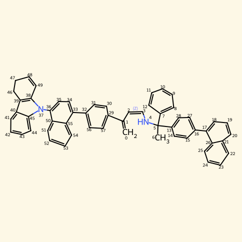 C=C(/C=C\NC(C)(c1ccccc1)c1ccc(-c2cccc3ccccc23)cc1)c1ccc(-c2ccc(-n3c4c(c5ccccc53)CCC=C4)c3ccccc23)cc1